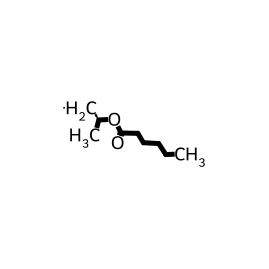 [CH2][C@@H](C)OC(=O)CCCCC